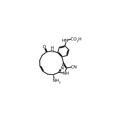 N#Cc1[nH]c2nc1-c1ccc(NC(=O)O)cc1NC(=O)CCC=CC[C@@H]2N